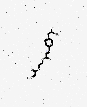 C=CC(=O)OCCOC(=O)/C=C/c1ccc(CC(CC)CCCC)cc1